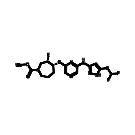 CC(C)(C)OC(=O)N1CCC[C@@H](Oc2cncc(Nc3cc(OC(F)F)[nH]n3)n2)[C@@H](F)C1